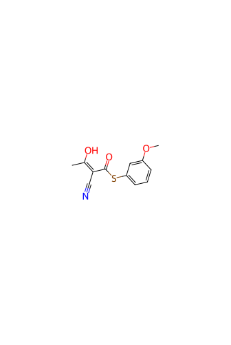 COc1cccc(SC(=O)/C(C#N)=C(/C)O)c1